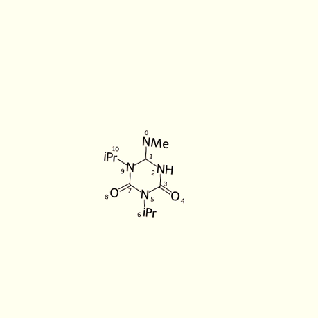 CNC1NC(=O)N(C(C)C)C(=O)N1C(C)C